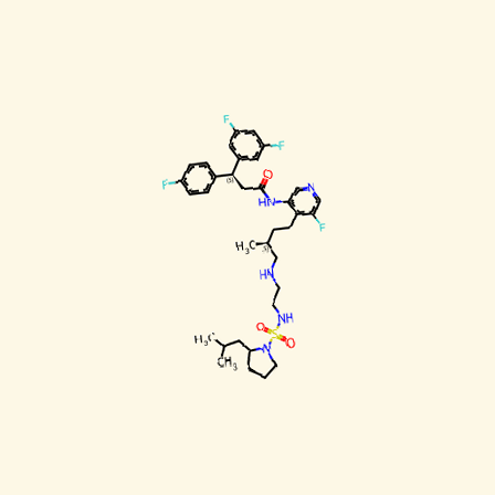 CC(C)CC1CCCN1S(=O)(=O)NCCNC[C@@H](C)CCc1c(F)cncc1NC(=O)C[C@@H](c1ccc(F)cc1)c1cc(F)cc(F)c1